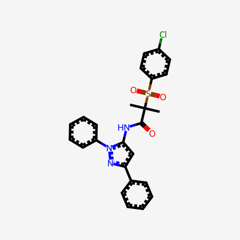 CC(C)(C(=O)Nc1cc(-c2ccccc2)nn1-c1ccccc1)S(=O)(=O)c1ccc(Cl)cc1